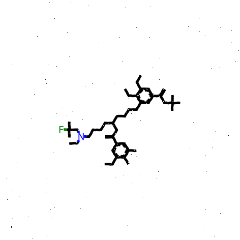 C=C(CC(CCCCc1cc(C(=C)CC(C)(C)C)cc(CC)c1CC)CCCCN(CC)CC(C)(C)F)c1cc(C)c(C)c(CC)c1